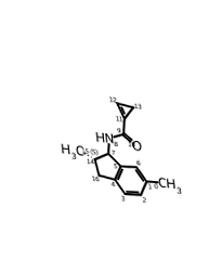 Cc1ccc2c(c1)C(NC(=O)C1=CC1)[C@@H](C)C2